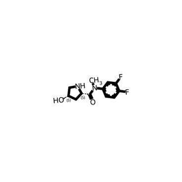 CN(C(=O)[C@@H]1C[C@H](O)CN1)c1ccc(F)c(F)c1